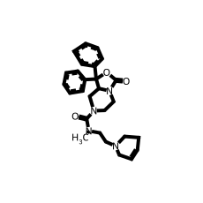 CN(CCN1CC=CCC1)C(=O)N1CCN2C(=O)OC(c3ccccc3)(c3ccccc3)C2C1